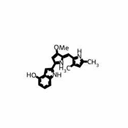 COC1=CC(c2cc3c(O)cccc3[nH]2)=NC1=Cc1[nH]c(C)cc1C